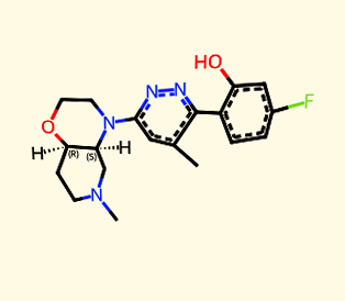 Cc1cc(N2CCO[C@@H]3CCN(C)C[C@@H]32)nnc1-c1ccc(F)cc1O